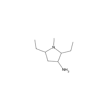 CCC1CC(N)C(CC)N1C